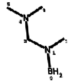 BN(C)CN(C)C